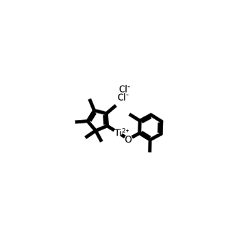 CC1=C(C)C(C)(C)[C]([Ti+2][O]c2c(C)cccc2C)=C1C.[Cl-].[Cl-]